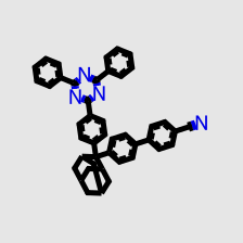 N#Cc1ccc(-c2ccc(C3(c4ccc(-c5nc(-c6ccccc6)nc(-c6ccccc6)n5)cc4)C4CC5CC(C4)CC3C5)cc2)cc1